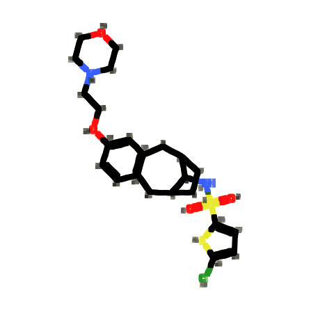 O=S(=O)(NC1C2CCC1Cc1cc(OCCN3CCOCC3)ccc1C2)c1ccc(Cl)s1